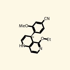 CCOc1nccc2c1[C@H](c1ccc(C#N)cc1OC)C=CN2